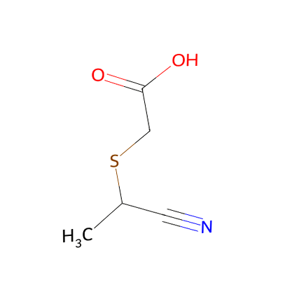 CC(C#N)SCC(=O)O